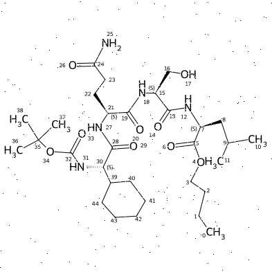 CCCCOC(=O)[C@H](CC(C)C)NC(=O)[C@H](CO)NC(=O)[C@H](CCC(N)=O)NC(=O)[C@@H](NC(=O)OC(C)(C)C)C1CCCCC1